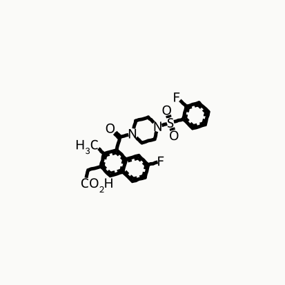 Cc1c(CC(=O)O)cc2ccc(F)cc2c1C(=O)N1CCN(S(=O)(=O)c2ccccc2F)CC1